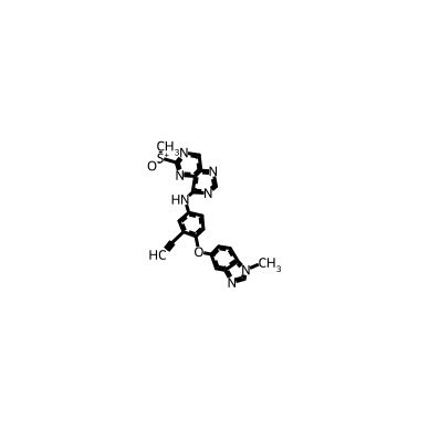 C#Cc1cc(Nc2ncnc3cnc([S+](C)[O-])nc23)ccc1Oc1ccc2c(c1)ncn2C